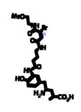 COCCNC(=O)/C(Br)=C\C(=O)NCCCC(=O)Nc1cc(CC(N)CC(C)C(=O)O)ccc1O